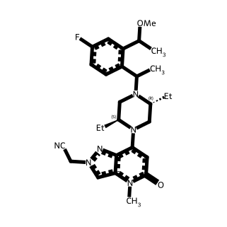 CC[C@H]1CN(C(C)c2ccc(F)cc2C(C)OC)[C@H](CC)CN1c1cc(=O)n(C)c2cn(CC#N)nc12